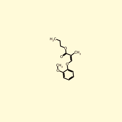 CCCOC(=O)C(C)=COc1ccccc1OC